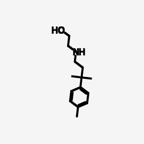 Cc1ccc(C(C)(C)CCNCCO)cc1